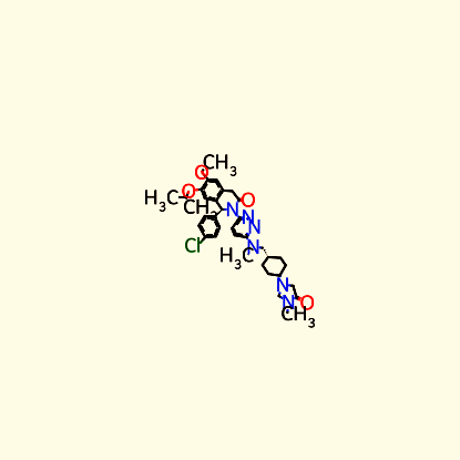 COc1cc2c(cc1OC(C)C)[C@H](c1ccc(Cl)cc1)N(c1ccc(N(C)C[C@H]3CC[C@H](N4CC(=O)N(C)C4)CC3)nn1)C(=O)C2